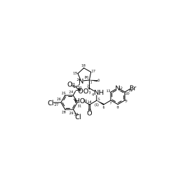 C[C@]1(C(=O)N[C@@H](Cc2ccc(Br)nc2)C(=O)O)CCCN1S(=O)(=O)c1cc(Cl)cc(Cl)c1